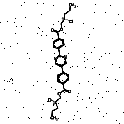 CCC[C@H](Cl)COC(=O)c1ccc(-c2cnc(-c3ccc(C(=O)OC[C@@H](Cl)CCC)cc3)nc2)cc1